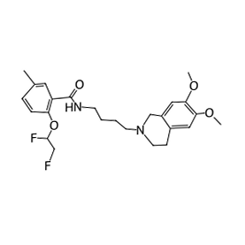 COc1cc2c(cc1OC)CN(CCCCNC(=O)c1cc(C)ccc1OC(F)CF)CC2